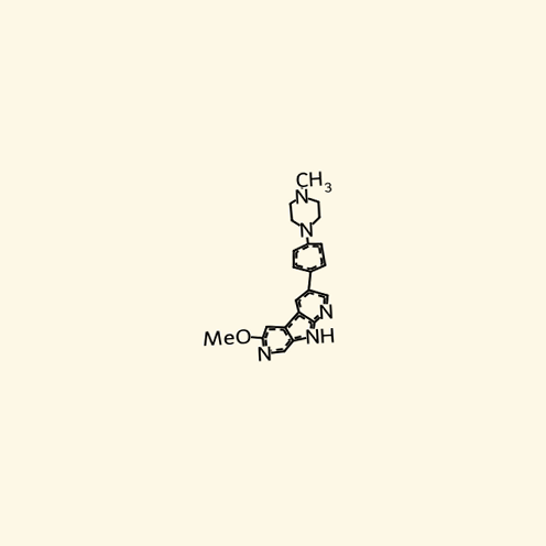 COc1cc2c(cn1)[nH]c1ncc(-c3ccc(N4CCN(C)CC4)cc3)cc12